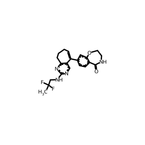 CC(F)(F)CNc1ncc2c(n1)CCCC=C2c1ccc2c(c1)OCCNC2=O